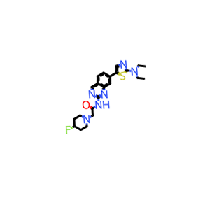 CCN(CC)c1ncc(-c2ccc3cnc(NC(=O)CN4CCC(F)CC4)nc3c2)s1